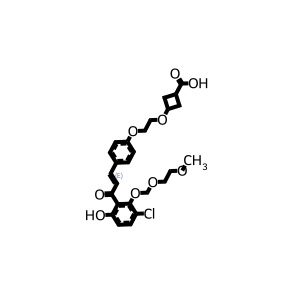 COCCOCOc1c(Cl)ccc(O)c1C(=O)/C=C/c1ccc(OCCOC2CC(C(=O)O)C2)cc1